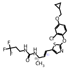 C[C@@H](/C=C/c1cnc(Oc2ccc(OCC3CC3)cc2Cl)s1)NC(=O)NCCC(F)(F)F